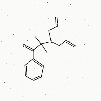 C=CCN(CC=C)C(C)(C)C(=O)c1ccccc1